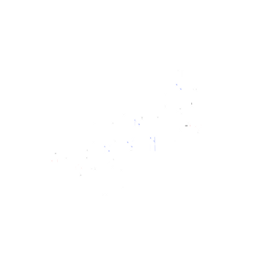 CN1Cc2cc(Nc3ncc(Cl)c(N4CC5(CC(=O)O5)c5ccccc54)n3)cc3c2C(CO3)C1